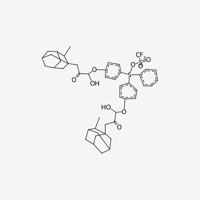 CC1C2CC3CC(C2)CC1(CC(=O)C(O)Oc1ccc(S(OS(=O)(=O)C(F)(F)F)(c2ccccc2)c2ccc(OC(O)C(=O)CC45CC6CC(CC(C6)C4C)C5)cc2)cc1)C3